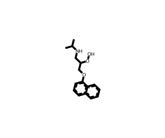 CC(C)NCC(COc1cccc2ccccc12)OO